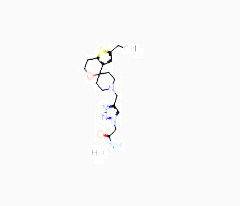 CCc1cc2c(s1)CCOC21CCN(Cc2cn(CC(=O)NC)nn2)CC1